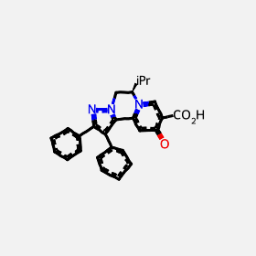 CC(C)[C@@H]1Cn2nc(-c3ccccc3)c(-c3ccccc3)c2-c2cc(=O)c(C(=O)O)cn21